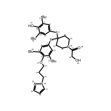 CC(C)(C)c1cc(SC2(Sc3cc(C(C)(C)C)c(OCCCn4cccn4)c(C(C)(C)C)c3)CCN(C(=O)CO)CC2)cc(C(C)(C)C)c1O